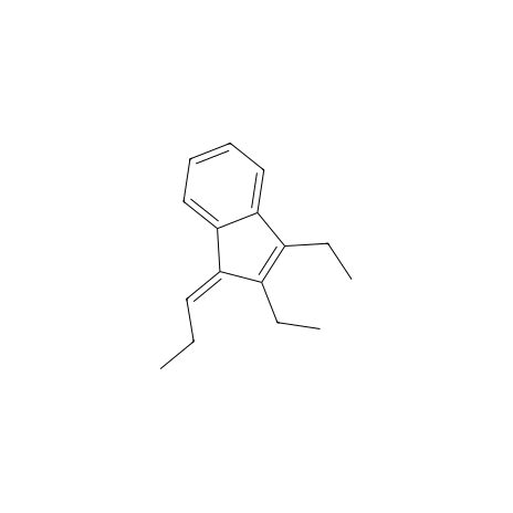 CCC=C1C(CC)=C(CC)c2ccccc21